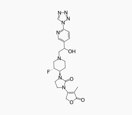 CC1=C(N2CCN([C@@H]3CCN(CC(O)c4ccc(-n5cnnn5)nc4)C[C@H]3F)C2=O)COC1=O